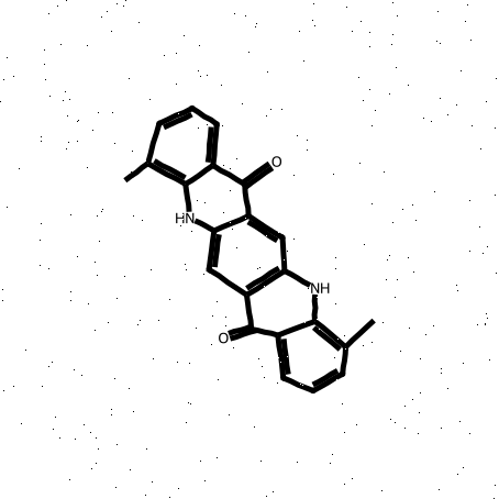 Cc1cccc2c(=O)c3cc4[nH]c5c(C)cccc5c(=O)c4cc3[nH]c12